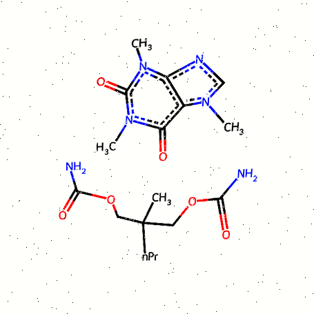 CCCC(C)(COC(N)=O)COC(N)=O.Cn1c(=O)c2c(ncn2C)n(C)c1=O